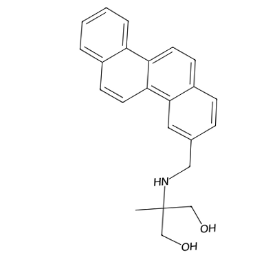 CC(CO)(CO)NCc1ccc2ccc3c4ccccc4ccc3c2c1